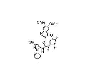 COc1cc2ncnc(Oc3cc(NC(=O)Nc4cc(C(C)(C)C)nn4-c4ccc(C)cc4)c(F)cc3F)c2cc1OC